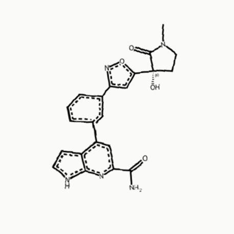 CN1CC[C@@](O)(c2cc(-c3cccc(-c4cc(C(N)=O)nc5[nH]ccc45)c3)no2)C1=O